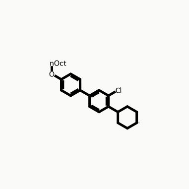 CCCCCCCCOc1ccc(-c2ccc(C3CC[CH]CC3)c(Cl)c2)cc1